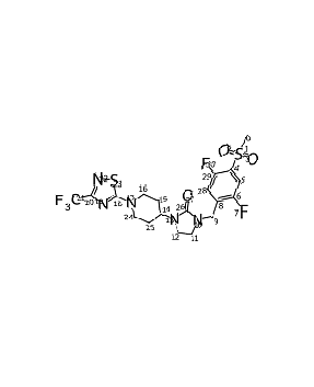 CS(=O)(=O)c1cc(F)c(CN2CCN(C3CCN(c4nc(C(F)(F)F)ns4)CC3)C2=O)cc1F